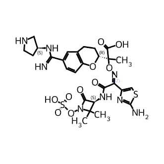 CC(O/N=C(\C(=O)N[C@@H]1C(=O)N(OS(=O)(=O)O)C1(C)C)c1csc(N)n1)(C(=O)O)[C@H]1CCc2cc(C(=N)N[C@H]3CCNC3)ccc2O1